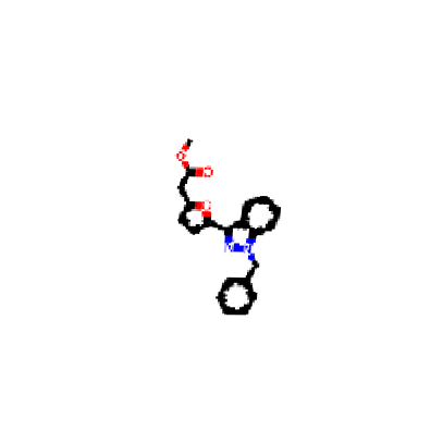 COC(=O)Cc1ccc(-c2nn(Cc3ccccc3)c3ccccc23)o1